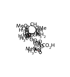 CNN(C)Cc1cc2ccccc2n1CCC(=O)N[C@@H](CCC(=O)O)C(=O)NCCOCCOCCC(=O)N(C)[C@@H](C)C(=O)O[C@H]1CC(=O)N(C)c2cc(cc(OC)c2Cl)C/C(C)=C/C=C/[C@@H](OC)C(O)C[C@H](OC(N)=O)[C@@H](C)C2O[C@]21C